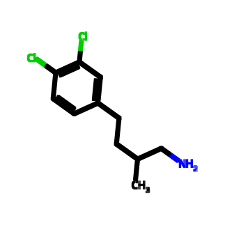 CC(CN)CCc1ccc(Cl)c(Cl)c1